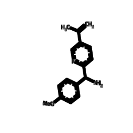 C=C(C)c1ccc(C(N)c2ccc(OC)cc2)nc1